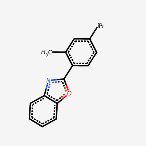 Cc1cc(C(C)C)ccc1-c1nc2ccccc2o1